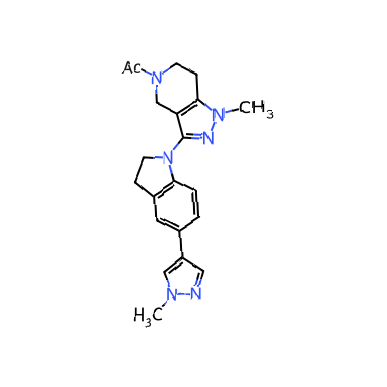 CC(=O)N1CCc2c(c(N3CCc4cc(-c5cnn(C)c5)ccc43)nn2C)C1